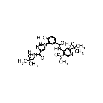 Cc1ccc(C(=O)Nc2cc(C(C)(C)C)ncc2[S+](C)[O-])cc1-n1cc(C(=O)NCC(C)(C)C)nn1